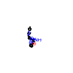 CC1CCC(N2CCN(Cc3ccc4[nH]c(-c5n[nH]cc5NC(=O)c5ccccc5)nc4c3)CC2)CC1